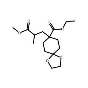 CCOC(=O)C1(CC(C)C(=O)OC)CCC2(CC1)OCCO2